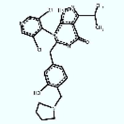 CC(C)c1n[nH]c2c1c(=O)nc(Cc1ccc(CN3CCCC3)c(O)c1)n2-c1c(Cl)cncc1Cl